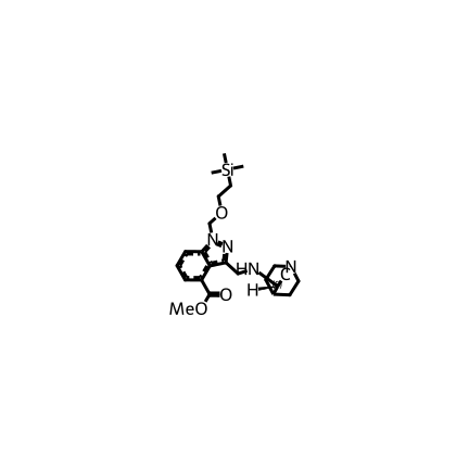 COC(=O)c1cccc2c1c(CN[C@@H]1CN3CCC1CC3)nn2COCC[Si](C)(C)C